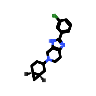 Clc1cccc(-c2nc3c([nH]2)CN(C2CC[C@@H]4C[C@@H]4C2)CC3)c1